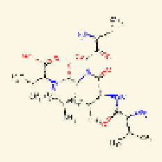 CC[C@H](N)C(=O)C(=O)N(C(=O)[C@@H](NC(=O)[C@@H](N)C(C)C)C(C)C)[C@H](CC(C)C)C(=O)N[C@H](C(=O)O)C(C)C